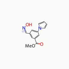 COC(=O)c1cc(/C=N\O)cc(-n2cccc2)c1